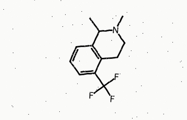 CC1c2cccc(C(F)(F)F)c2CCN1C